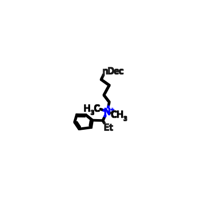 CCCCCCCCCCCCCC[N+](C)(C)C(CC)c1ccccc1